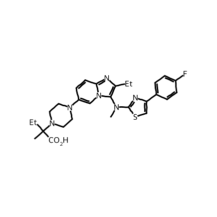 CCc1nc2ccc(N3CCN(C(C)(CC)C(=O)O)CC3)cn2c1N(C)c1nc(-c2ccc(F)cc2)cs1